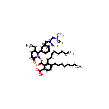 CCCCCCCCc1ccc(C(=O)O)c(C(=O)On2c(-c3ccc4c(c3)cc(CN(C)C)n4C)c(CC)ccc2=O)c1CCCCCCCC